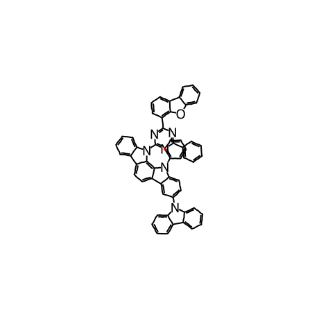 c1ccc(-c2nc(-c3cccc4c3oc3ccccc34)nc(-n3c4ccccc4c4ccc5c6cc(-n7c8ccccc8c8ccccc87)ccc6n(-c6ccccc6)c5c43)n2)cc1